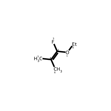 CCOC(F)=C(C)C